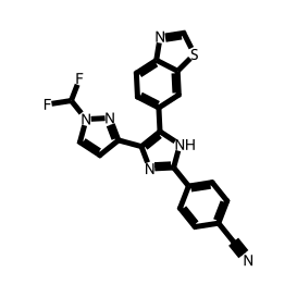 N#Cc1ccc(-c2nc(-c3ccn(C(F)F)n3)c(-c3ccc4ncsc4c3)[nH]2)cc1